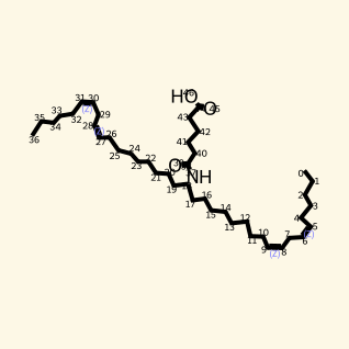 CCCCC/C=C\C/C=C\CCCCCCCCC(CCCCCCCC/C=C\C/C=C\CCCCC)NC(=O)CCCCC(=O)O